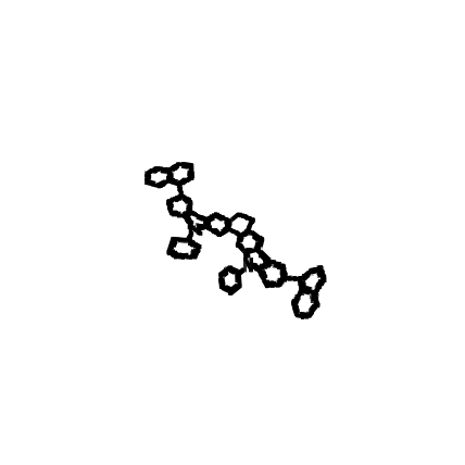 c1ccc(-n2c3ccc(-c4cccc5ccccc45)cc3c3cc4c(cc32)-c2cc3c(cc2CC4)c2cc(-c4cccc5ccccc45)ccc2n3-c2ccccc2)cc1